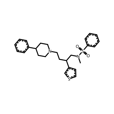 CN(CC(CCN1CCC(c2ccccc2)CC1)c1ccsc1)S(=O)(=O)c1ccccc1